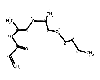 C=CC(=O)OC(C)COC(C)COCCCC